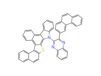 c1ccc2c(c1)ccc1ccc(-c3nc4ccccc4nc3-n3c4ccccc4c4c5ccccc5c5c(sc6ccc7ccccc7c65)c43)cc12